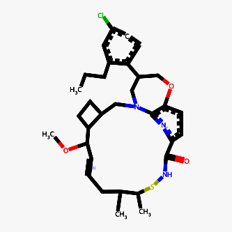 CCCc1cc(Cl)ccc1C1COc2ccc3nc2N(C1)CC1CCC1C(OC)/C=C/CC(C)C(C)SNC3=O